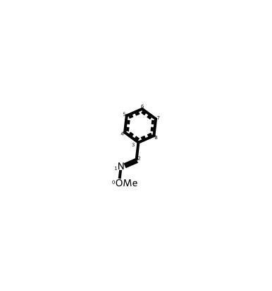 [CH2]O/N=C/c1ccccc1